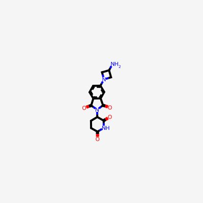 NC1CN(c2ccc3c(c2)C(=O)N(C2CCC(=O)NC2=O)C3=O)C1